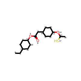 CCC1CCC(OC(=O)CC2CCC(OC(C)S)CC2)CC1